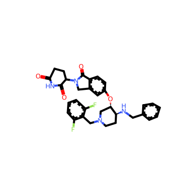 O=C1CCC(N2Cc3cc(O[C@H]4CN(Cc5c(F)cccc5F)CC[C@@H]4NCc4ccccc4)ccc3C2=O)C(=O)N1